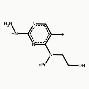 CCCN(CCO)c1nc(NN)ncc1F